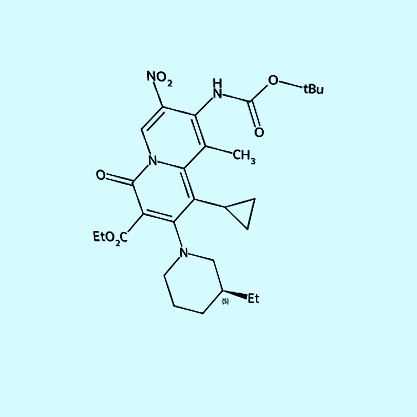 CCOC(=O)c1c(N2CCC[C@H](CC)C2)c(C2CC2)c2c(C)c(NC(=O)OC(C)(C)C)c([N+](=O)[O-])cn2c1=O